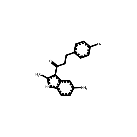 Cc1[nH]c2ccc(N)cc2c1C(=O)CCc1ccc(C#N)cc1